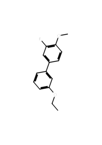 CCOc1cc[c]c(-c2ccc(OC)c(F)c2)c1